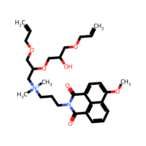 C=CCOCC(O)COC(COCC=C)C[N+](C)(C)CCCN1C(=O)c2cccc3c(OC)ccc(c23)C1=O